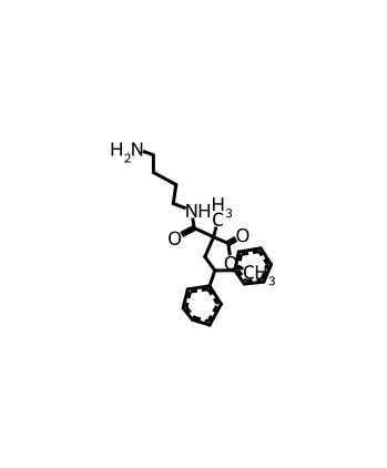 COC(=O)C(C)(CC(c1ccccc1)c1ccccc1)C(=O)NCCCCN